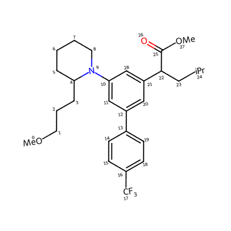 COCCCC1CCCCN1c1cc(-c2ccc(C(F)(F)F)cc2)cc(C(CC(C)C)C(=O)OC)c1